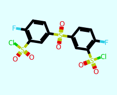 O=S(=O)(Cl)c1cc(S(=O)(=O)c2ccc(F)c(S(=O)(=O)Cl)c2)ccc1F